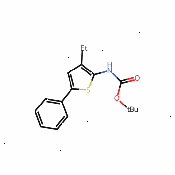 [CH2]Cc1cc(-c2ccccc2)sc1NC(=O)OC(C)(C)C